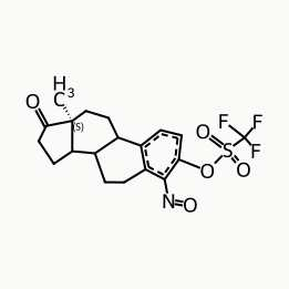 C[C@]12CCC3c4ccc(OS(=O)(=O)C(F)(F)F)c(N=O)c4CCC3C1CCC2=O